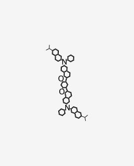 CC(C)c1ccc2cc(N(c3ccccc3)c3ccc4c(ccc5c6cc7c(cc6oc45)oc4c5ccc(N(c6ccccc6)c6ccc8cc(C(C)C)ccc8c6)cc5ccc74)c3)ccc2c1